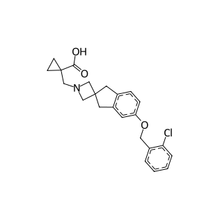 O=C(O)C1(CN2CC3(Cc4ccc(OCc5ccccc5Cl)cc4C3)C2)CC1